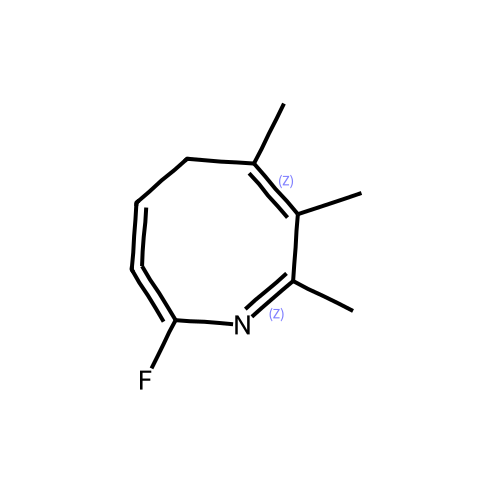 CC1=N/C(F)=C=CC/C(C)=C\1C